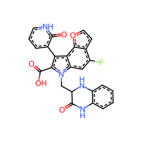 O=C(O)c1c(-c2ccc[nH]c2=O)c2c3occc3c(F)cc2n1CC1Nc2ccccc2NC1=O